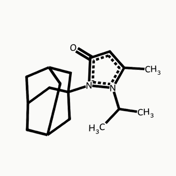 Cc1cc(=O)n(C23CC4CC(CC(C4)C2)C3)n1C(C)C